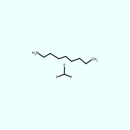 CCCCCCCCN.FC(F)F